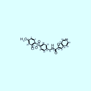 Cc1ccc(S(=O)(=O)c2ccc(CNC(=O)c3cc4ccncc4o3)cc2)c(Cl)c1